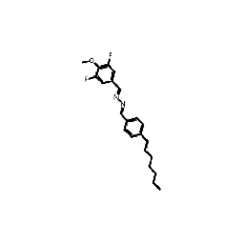 CCCCCCCc1ccc(C=NN=Cc2cc(F)c(OC)c(F)c2)cc1